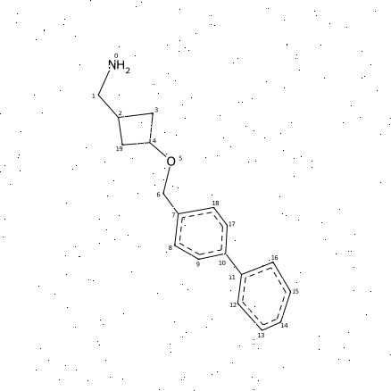 NCC1CC(OCc2ccc(-c3ccccc3)cc2)C1